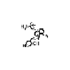 CC(C)C1=C2N=C(NCC3CCNC[C@@H]3O)C=C(NCC(N)=O)N2C=C=C1